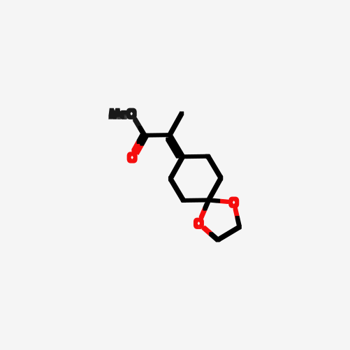 COC(=O)C(C)=C1CCC2(CC1)OCCO2